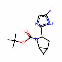 CC(C)(C)OC(=O)N1C(c2ncc(I)[nH]2)CC2CC21